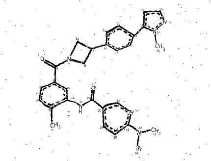 Cc1ccc(C(=O)N2CC(c3ccc(-c4ccnn4C)cc3)C2)cc1NC(=O)c1ccc(N(C)C(C)C)nc1